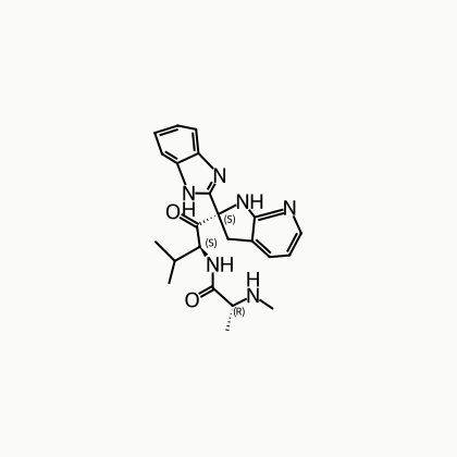 CN[C@H](C)C(=O)N[C@H](C(=O)[C@@]1(c2nc3ccccc3[nH]2)Cc2cccnc2N1)C(C)C